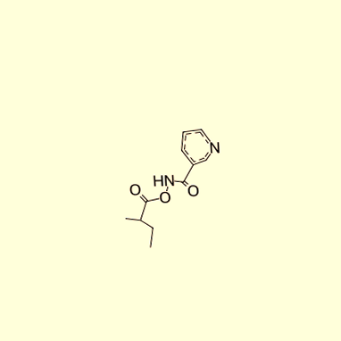 CCC(C)C(=O)ONC(=O)c1cccnc1